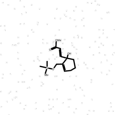 COC(=O)/C=C/C1(O)CCCC=C1CO[Si](C)(C)C(C)(C)C